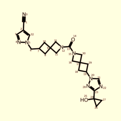 N#Cc1cnn(CC2CC3(C2)CN(C(=O)N2CC4(CC(n5cnc(C6(O)CC6)n5)C4)C2)C3)c1